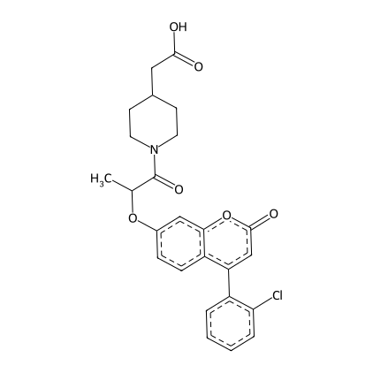 CC(Oc1ccc2c(-c3ccccc3Cl)cc(=O)oc2c1)C(=O)N1CCC(CC(=O)O)CC1